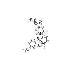 Cc1ccc(Sc2ccccc2N2CCC(C(=O)OC(C)(C)C)CC2)c(C)c1